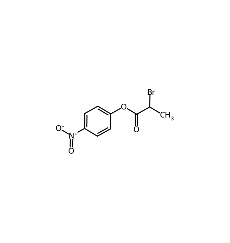 CC(Br)C(=O)Oc1ccc([N+](=O)[O-])cc1